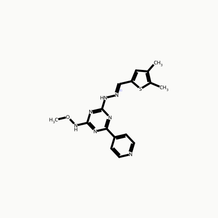 CONc1nc(N/N=C/c2cc(C)c(C)s2)nc(-c2ccncc2)n1